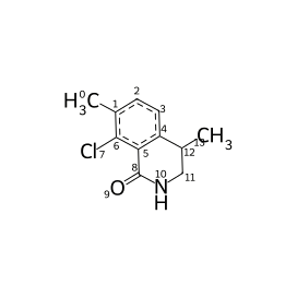 Cc1ccc2c(c1Cl)C(=O)NCC2C